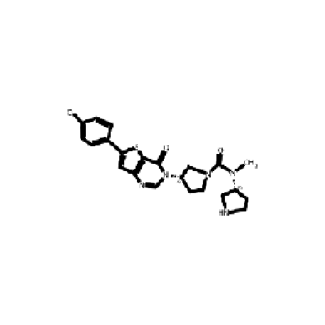 CN(C(=O)N1CC[C@H](n2cnc3cc(-c4ccc(Cl)cc4)sc3c2=O)C1)[C@@H]1CCNC1